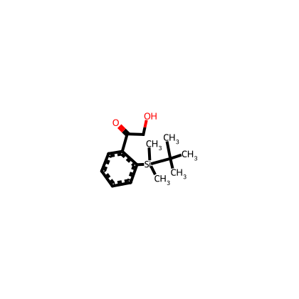 CC(C)(C)[Si](C)(C)c1ccccc1C(=O)CO